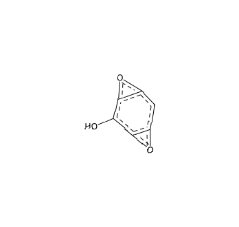 Oc1c2oc2cc2oc12